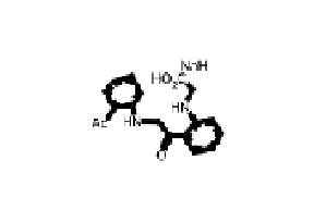 CC(=O)c1ccccc1NCC(=O)c1ccccc1NCC(=O)O.[NaH]